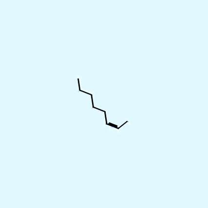 [CH2]/C=C\CCCC[CH2]